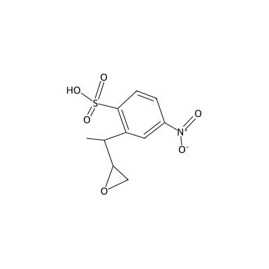 CC(c1cc([N+](=O)[O-])ccc1S(=O)(=O)O)C1CO1